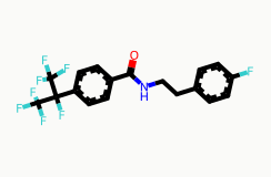 O=C(NCCc1ccc(F)cc1)c1ccc(C(F)(C(F)(F)F)C(F)(F)F)cc1